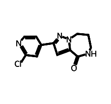 O=C1NCCCn2nc(-c3ccnc(Cl)c3)cc21